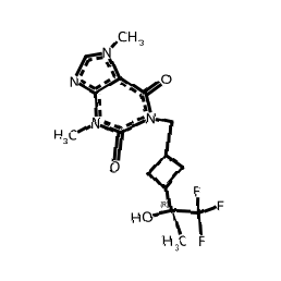 Cn1cnc2c1c(=O)n(CC1CC([C@@](C)(O)C(F)(F)F)C1)c(=O)n2C